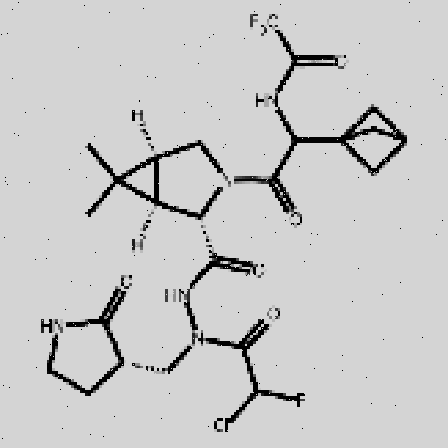 CC1(C)[C@@H]2[C@@H](C(=O)NN(C[C@@H]3CCNC3=O)C(=O)C(F)Cl)N(C(=O)C(NC(=O)C(F)(F)F)C34CC(C3)C4)C[C@@H]21